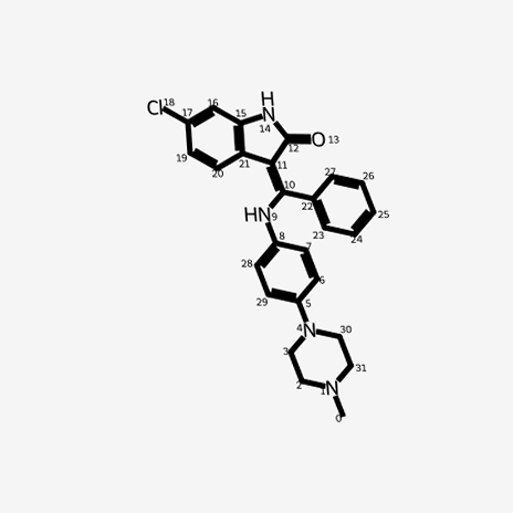 CN1CCN(c2ccc(NC(=C3C(=O)Nc4cc(Cl)ccc43)c3ccccc3)cc2)CC1